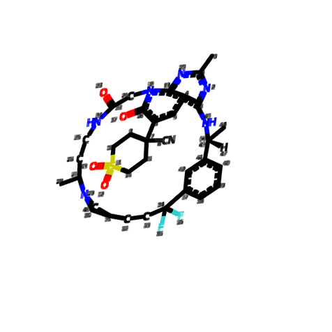 Cc1nc2c3cc(C4(C#N)CCS(=O)(=O)CC4)c(=O)n(c3n1)CC(=O)NCCC(C)N1CC(CCC(F)(F)c3cccc(c3)[C@@H](C)N2)C1